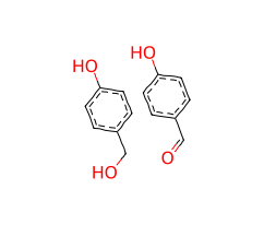 O=Cc1ccc(O)cc1.OCc1ccc(O)cc1